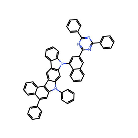 c1ccc(-c2nc(-c3ccccc3)nc(-c3cc(-n4c5ccccc5c5cc6c7c8ccccc8c(-c8ccccc8)cc7n(-c7ccccc7)c6cc54)c4ccccc4c3)n2)cc1